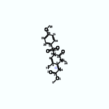 COC(=O)/N=c1\c(F)cn(S(=O)(=O)c2ccc(OC)cc2)c(=O)n1C